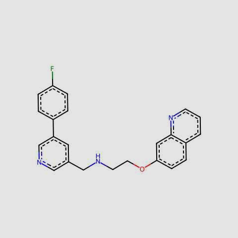 Fc1ccc(-c2cncc(CNCCOc3ccc4cccnc4c3)c2)cc1